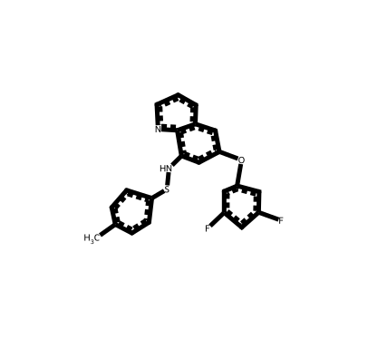 Cc1ccc(SNc2cc(Oc3cc(F)cc(F)c3)cc3cccnc23)cc1